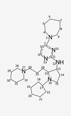 c1cc(N2CCCCCC2)nc(NC2CCN(C3CCCCC3)C2CCCN2CCCCC2)n1